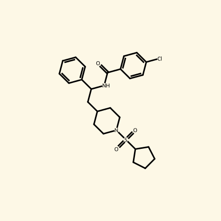 O=C(NC(CC1CCN(S(=O)(=O)C2CCCC2)CC1)c1ccccc1)c1ccc(Cl)cc1